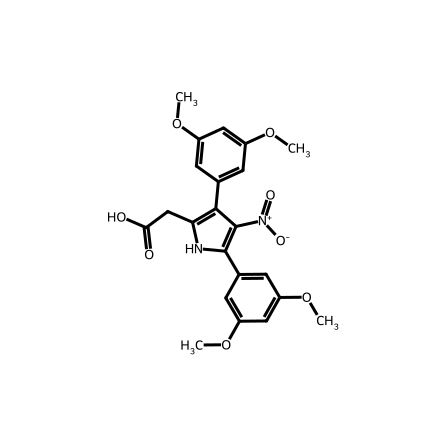 COc1cc(OC)cc(-c2[nH]c(CC(=O)O)c(-c3cc(OC)cc(OC)c3)c2[N+](=O)[O-])c1